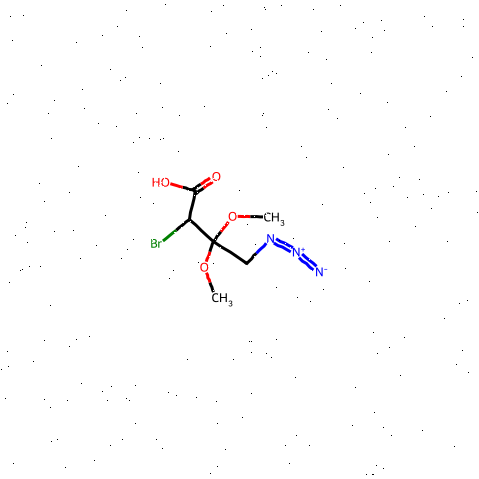 COC(CN=[N+]=[N-])(OC)C(Br)C(=O)O